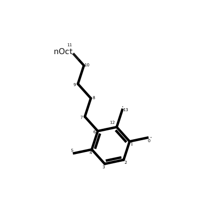 [CH2]c1ccc(C)c(CCCCCCCCCCCC)c1[CH2]